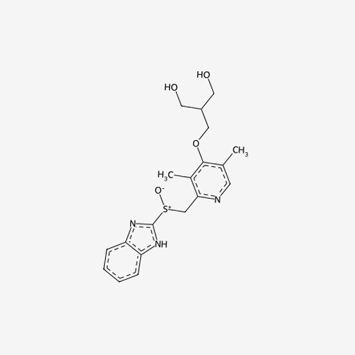 Cc1cnc(C[S+]([O-])c2nc3ccccc3[nH]2)c(C)c1OCC(CO)CO